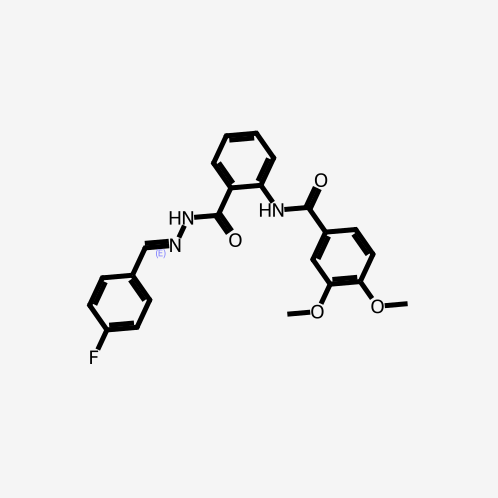 COc1ccc(C(=O)Nc2ccccc2C(=O)N/N=C/c2ccc(F)cc2)cc1OC